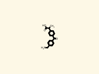 CC(C(=O)O)c1ccc(C(=O)c2ccc(CN)cc2)cc1